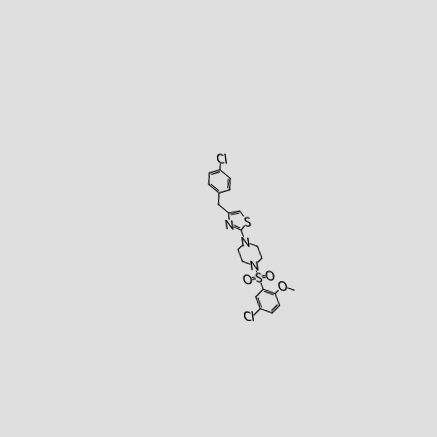 COc1ccc(Cl)cc1S(=O)(=O)N1CCN(c2nc(Cc3ccc(Cl)cc3)cs2)CC1